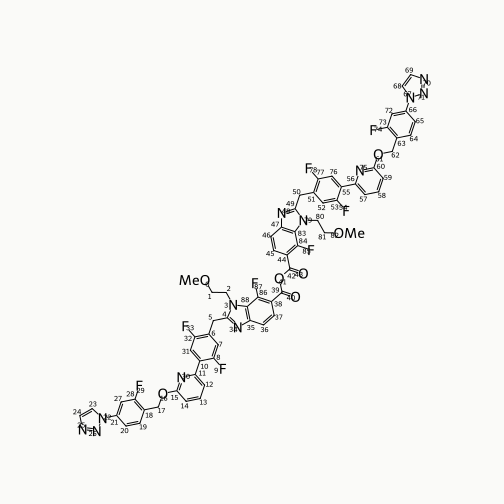 COCCn1c(Cc2cc(F)c(-c3cccc(OCc4ccc(-n5ccnn5)cc4F)n3)cc2F)nc2ccc(C(=O)OC(=O)c3ccc4nc(Cc5cc(F)c(-c6cccc(OCc7ccc(-n8ccnn8)cc7F)n6)cc5F)n(CCOC)c4c3F)c(F)c21